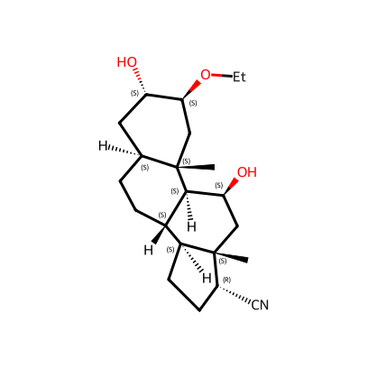 CCO[C@H]1C[C@@]2(C)[C@@H](CC[C@@H]3[C@@H]2[C@@H](O)C[C@]2(C)[C@H](C#N)CC[C@@H]32)C[C@@H]1O